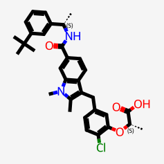 Cc1c(Cc2ccc(Cl)c(O[C@@H](C)C(=O)O)c2)c2ccc(C(=O)N[C@@H](C)c3cccc(C(C)(C)C)c3)cc2n1C